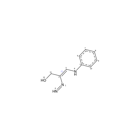 N=N/C(=C\Nc1ccccc1)CO